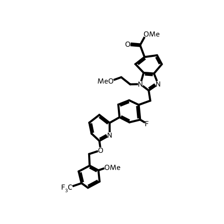 COCCn1c(Cc2ccc(-c3cccc(OCc4cc(C(F)(F)F)ccc4OC)n3)cc2F)nc2ccc(C(=O)OC)cc21